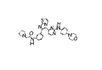 O=C(CN1CCCC1)Nc1cccc(-c2nc3sccn3c2-c2ccnc(Nc3ccc(N4CCOCC4)cc3)n2)c1